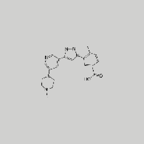 Cc1ccc(C(=O)O)cc1-n1cc(-c2cncc(N3CCN(C)CC3)c2)nn1